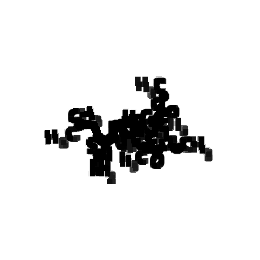 CCOC(=O)C(C)(C)NP(=O)(NC(C)(C)C(=O)OCC)c1ccc(-c2nc(N)sc2CC(C)C)o1